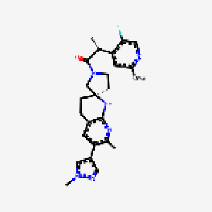 COc1cc([C@@H](C)C(=O)N2CC[C@]3(CCc4cc(-c5cnn(C)c5)c(C)nc4N3)C2)c(F)cn1